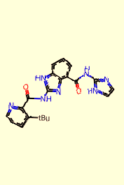 CC(C)(C)c1cccnc1C(=O)Nc1nc2c(C(=O)Nc3ncc[nH]3)cccc2[nH]1